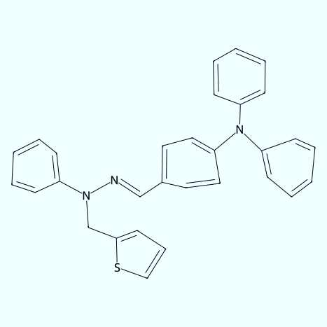 C(=NN(Cc1cccs1)c1ccccc1)c1ccc(N(c2ccccc2)c2ccccc2)cc1